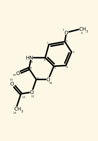 COc1ccc2c(c1)NC(=O)C(OC(C)=O)O2